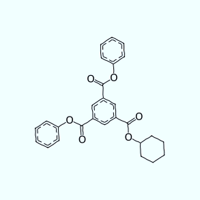 O=C(Oc1ccccc1)c1cc(C(=O)Oc2ccccc2)cc(C(=O)OC2CCCCC2)c1